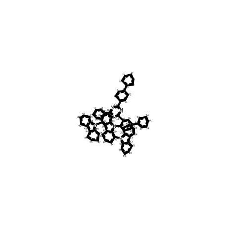 c1ccc(-c2ccc(-c3nc(-c4ccccc4)nc(-c4cc(-c5ccccc5)ccc4-n4c5cccc(-n6c7ccccc7c7ccccc76)c5c5cccc(-n6c7ccccc7c7ccccc76)c54)n3)cc2)cc1